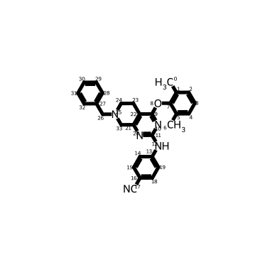 Cc1cccc(C)c1Oc1nc(Nc2ccc(C#N)cc2)nc2c1CCN(Cc1ccccc1)C2